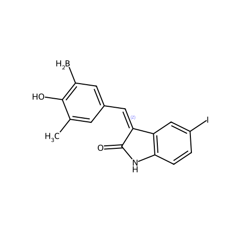 Bc1cc(/C=C2\C(=O)Nc3ccc(I)cc32)cc(C)c1O